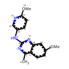 COc1ccc2c(C)nc(Nc3ccc(OC)nc3)nc2c1